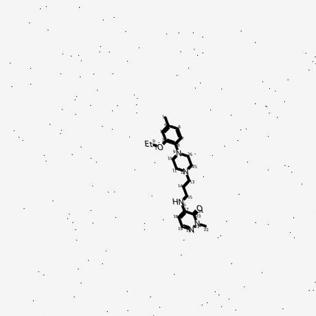 CCOc1cc(C)ccc1N1CCN(CCCNc2ccnn(C)c2=O)CC1